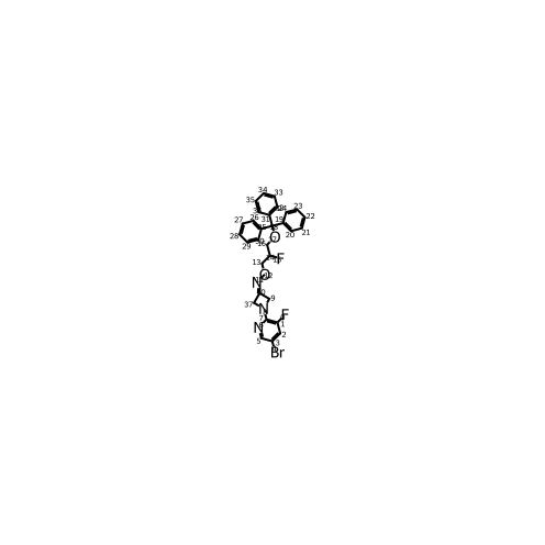 Fc1cc(Br)cnc1N1CC(=NOCC(F)COC(c2ccccc2)(c2ccccc2)c2ccccc2)C1